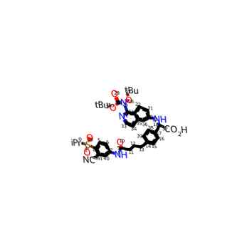 CC(C)S(=O)(=O)c1ccc(NC(=O)CCCc2ccc(C(Nc3ccc4c(N(OC(C)(C)C)C(=O)OC(C)(C)C)nccc4c3)C(=O)O)cc2)cc1C#N